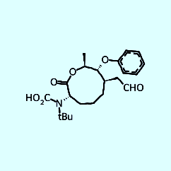 C[C@@H]1OC(=O)[C@@H](N(C(=O)O)C(C)(C)C)CCC[C@H](CC=O)[C@H]1Oc1ccccc1